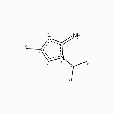 Cc1cn(C(C)C)c(=N)o1